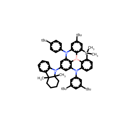 CC(C)(C)c1ccc(N2c3cc(N4c5ccccc5C5(C)CCCCC45C)cc4c3B3c5c(cccc5[Si](C)(C)c5cc(C(C)(C)C)cc2c53)N4c2cc(C(C)(C)C)cc(C(C)(C)C)c2)cc1